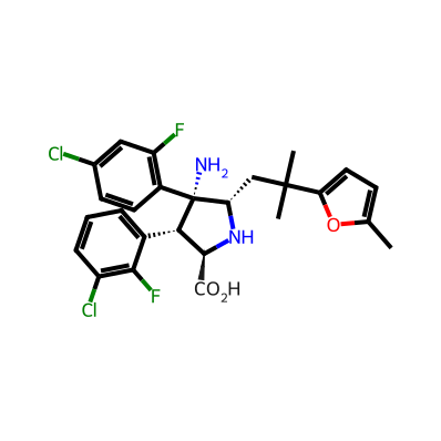 Cc1ccc(C(C)(C)C[C@@H]2N[C@@H](C(=O)O)[C@H](c3cccc(Cl)c3F)[C@@]2(N)c2ccc(Cl)cc2F)o1